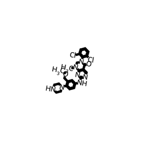 COCc1cc(Nc2ncc3c(n2)N(C)CN(c2c(Cl)cccc2Cl)C3=O)ccc1N1CCNCC1